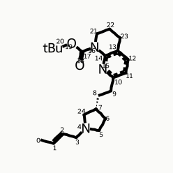 C/C=C/CN1CC[C@@H](CCc2ccc3c(n2)N(C(=O)OC(C)(C)C)CCC3)C1